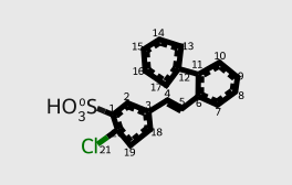 O=S(=O)(O)c1cc(C=Cc2ccccc2-c2ccccc2)ccc1Cl